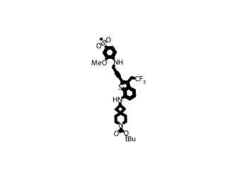 COc1cc(S(C)(=O)=O)ccc1NCC#Cc1sc2c(NC3CC4(CCN(C(=O)OC(C)(C)C)CC4)C3)cccc2c1CC(F)(F)F